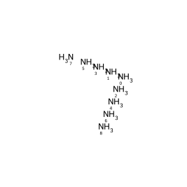 N.N.N.N.N.N.N.N.N